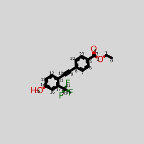 CCOC(=O)c1ccc(C#Cc2ccc(O)cc2C(F)(F)F)cc1